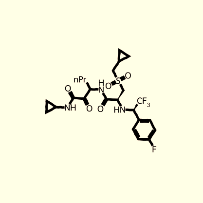 CCCC(NC(=O)[C@@H](CS(=O)(=O)CC1CC1)N[C@H](c1ccc(F)cc1)C(F)(F)F)C(=O)C(=O)NC1CC1